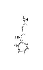 OC=CCNc1ccccn1